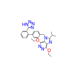 CCOc1nnc(OCC)c2c1nc(C(C)C)n2Cc1ccc(-c2ccccc2-c2nnn[nH]2)cc1